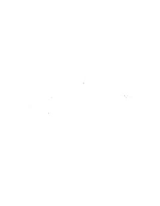 COC(=O)C(C)c1ccc(O)c(Cl)c1O